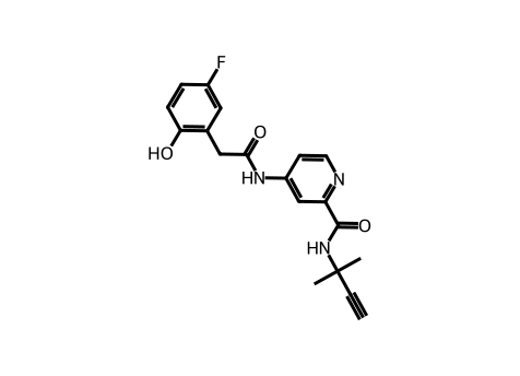 C#CC(C)(C)NC(=O)c1cc(NC(=O)Cc2cc(F)ccc2O)ccn1